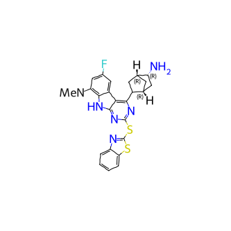 CNc1cc(F)cc2c1[nH]c1nc(Sc3nc4ccccc4s3)nc(C3C[C@H]4C[C@@H]3C[C@H]4N)c12